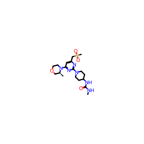 CNC(=O)NC1CCN(c2nc(CS(C)(=O)=O)cc(N3CCOC[C@@H]3C)n2)CC1